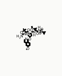 C=C[C@@H]1C[C@]1(NC(=O)[C@@H]1CC(Oc2nccc3cc(OC)ccc23)CN1C(=O)[C@@H](NC(N)=O)C(C)(C)C)C(=O)NS(=O)(=O)C1CC1